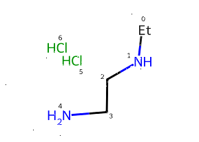 CCNCCN.Cl.Cl